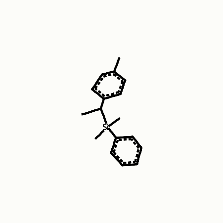 Cc1ccc(C(C)[Si](C)(C)c2ccccc2)cc1